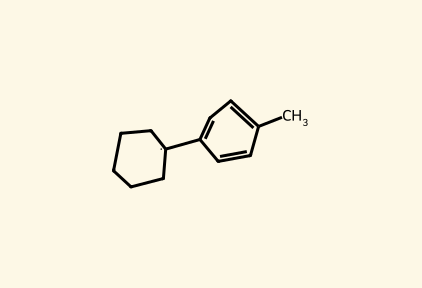 Cc1ccc([C]2CCCCC2)cc1